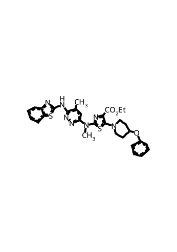 CCOC(=O)c1nc(N(C)c2cc(C)c(Nc3nc4ccccc4s3)nn2)sc1N1CCC(Oc2ccccc2)CC1